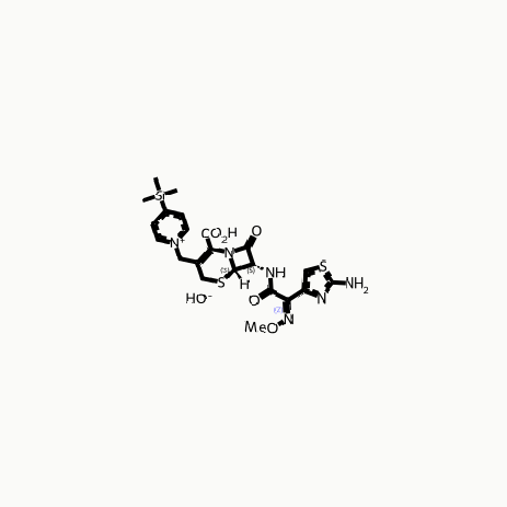 CO/N=C(\C(=O)N[C@H]1C(=O)N2C(C(=O)O)=C(C[n+]3ccc([Si](C)(C)C)cc3)CS[C@@H]12)c1csc(N)n1.[OH-]